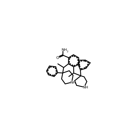 CC(c1cccc(C(N)=O)c1C(C)C1(c2ccccc2)CCNCC1)C1(c2ccccc2)CCNCC1